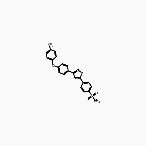 NS(=O)(=O)c1ccc(-c2nc(-c3ccc(Oc4ccc(C(F)(F)F)cc4)cc3)no2)cc1